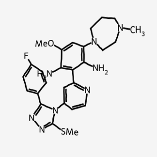 COc1cc(N2CCCN(C)CC2)c(N)c(-c2cc(-n3c(SC)nnc3-c3ccc(F)cc3)ccn2)c1N